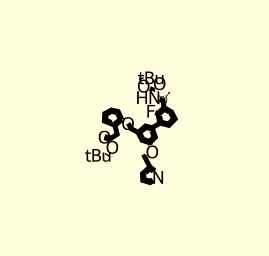 C[C@@H](NC(=O)OC(C)(C)C)c1cccc(-c2cc(COc3ccccc3CC(=O)OC(C)(C)C)cc(OCc3cccnc3)c2)c1F